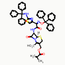 C=C(C)C(=O)OCC1=C(C(=O)O)N2C(=O)[C@@H](NC(=O)/C(=N\OC(c3ccccc3)(c3ccccc3)c3ccccc3)c3csc(NC(c4ccccc4)(c4ccccc4)c4ccccc4)n3)[C@H]2SC1